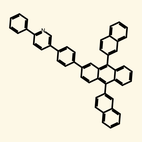 c1ccc(-c2ccc(-c3ccc(-c4ccc5c(-c6ccc7ccccc7c6)c6ccccc6c(-c6ccc7ccccc7c6)c5c4)cc3)cn2)cc1